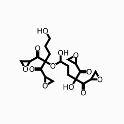 O=C(C1CO1)C(O)(CCC(O)OC(CCCO)(C(=O)C1CO1)C(=O)C1CO1)C(=O)C1CO1